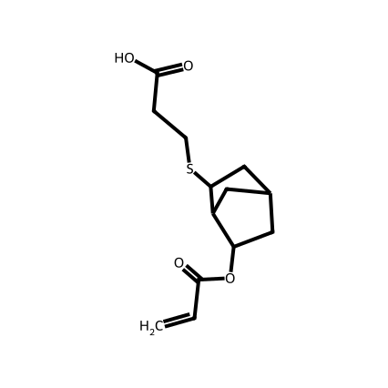 C=CC(=O)OC1CC2CC(SCCC(=O)O)C1C2